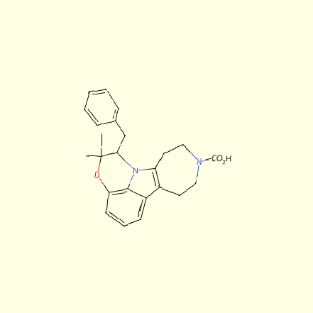 CC1(C)Oc2cccc3c4c(n(c23)C1Cc1ccccc1)CCN(C(=O)O)CC4